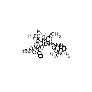 C=CCCC(NC(=O)[C@@H]1C2C(CN1C(=O)[C@@H](NC(=O)OC(C)(C)C)C1Cc3ccccc3C1)C2(C)C)C(=O)C(=O)NCC(=O)N[C@H](C(=O)N(C)C)c1ccccc1